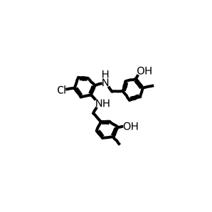 Cc1ccc(CNc2ccc(Cl)cc2NCc2ccc(C)c(O)c2)cc1O